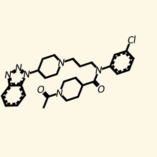 CC(=O)N1CCC(C(=O)N(CCCN2CCC(n3nnc4ccccc43)CC2)c2cccc(Cl)c2)CC1